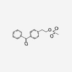 CS(=O)(=O)OCCc1ccc(C(=O)c2ccccc2)cc1